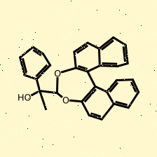 CC(O)(c1ccccc1)C1Oc2ccc3ccccc3c2-c2c(ccc3ccccc23)O1